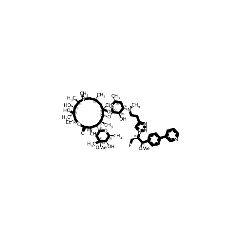 CC[C@H]1OC(=O)[C@H](C)C([C@H]2C[C@@](C)(OC)[C@@H](O)[C@H](C)O2)[C@H](C)[C@@H](O[C@@H]2O[C@H](C)C[C@H](N(C)CCc3cn([C@H](CF)[C@H](OC)c4ccc(-c5cccnc5)cc4)nn3)[C@H]2O)[C@](C)(O)C[C@@H](C)CN(C)[C@H](C)[C@@H](O)[C@]1(C)O